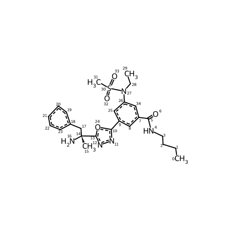 CCCCNC(=O)c1cc(-c2nnc([C@](C)(N)Cc3ccccc3)o2)cc(N(CC)S(C)(=O)=O)c1